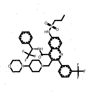 CCCS(=O)(=O)Nc1ccc2nc(-c3cccc(C(F)(F)F)c3)c(CN3CCC(N4CCOCC4)CC3)c(C(=O)N[C@H](c3ccccc3)C(F)(F)F)c2c1